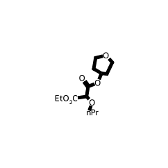 CCCOC(C(=O)OCC)C(=O)OC1CCOCC1